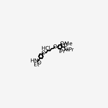 CCOC(=N)c1ccc(OCCCCCOc2ccc(C(=O)N(C(C)C)C(C)C)c(OC)c2)cc1.Cl